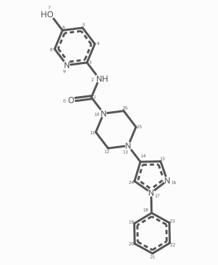 O=C(Nc1ccc(O)cn1)N1CCN(c2cnn(-c3ccccc3)c2)CC1